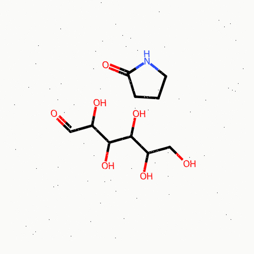 O=C1CCCN1.O=CC(O)C(O)C(O)C(O)CO